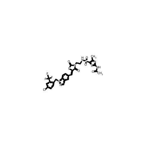 CC(=O)Nc1nc(C)c(S(=O)(=O)NCCN2C(=O)S/C(=C\c3ccc4c(cnn4Cc4ccc(Cl)cc4C(F)(F)F)c3)C2=O)s1